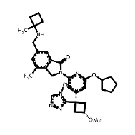 CO[C@H]1C[C@](c2cc(OC3CCCC3)nc(N3Cc4c(cc(CNC5(C)CCC5)cc4C(F)(F)F)C3=O)c2)(c2nncn2C)C1